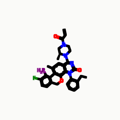 C=CC(=O)N1CCN(c2nc(=O)n(-c3ccccc3CC)c3c4c(c(C)cc23)-c2c(ccc(F)c2P)CO4)[C@@H](C)C1